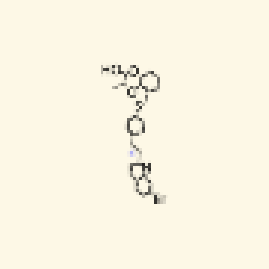 CC(Oc1ccccc1CSc1ccc(/C=C/c2ccc3ccc(Br)cc3n2)cc1)C(=O)O